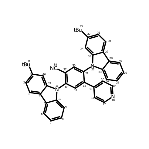 CC(C)(C)c1ccc2c3ccccc3n(-c3cc(-c4ccncc4)c(-n4c5ccccc5c5ccc(C(C)(C)C)cc54)cc3C#N)c2c1